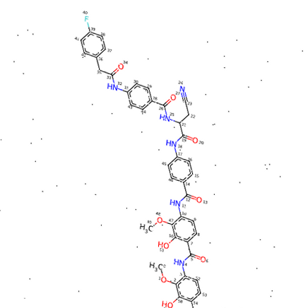 COc1c(NC(=O)c2ccc(NC(=O)c3ccc(NC(=O)C(CC#N)NC(=O)c4ccc(NC(=O)Cc5ccc(F)cc5)cc4)cc3)c(OC)c2O)ccc(C(=O)O)c1O